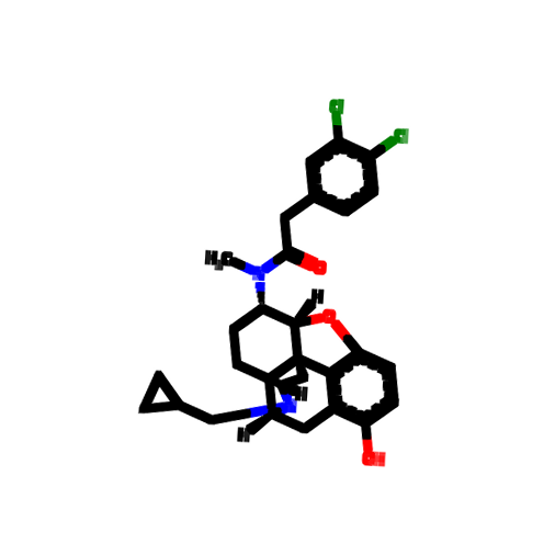 CN(C(=O)Cc1ccc(Cl)c(Cl)c1)[C@H]1CC[C@H]2[C@H]3Cc4c(O)ccc5c4[C@@]2(CCN3CC2CC2)[C@H]1O5